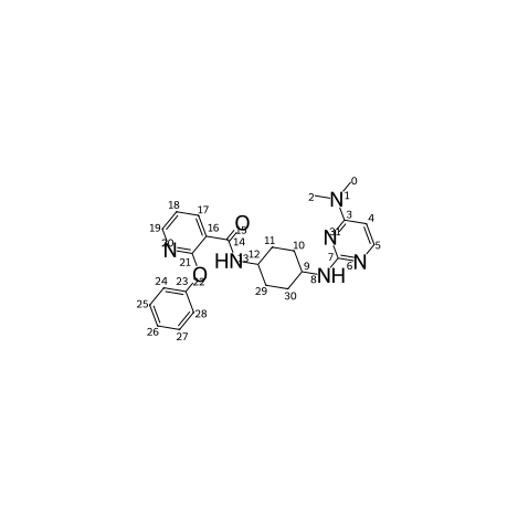 CN(C)c1ccnc(NC2CCC(NC(=O)c3cccnc3Oc3ccccc3)CC2)n1